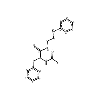 CC(=O)NC(Cc1ccccc1)C(=O)OCC[Se]c1ccccc1